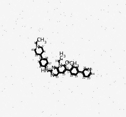 CCN1CCC(c2ccc(Nc3ncc4cc(-c5ccc(-c6cccnc6)cc5C)c(=O)n(CC)c4n3)cc2)CC1